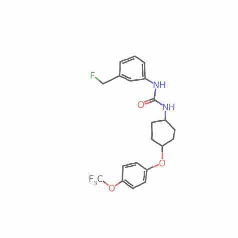 O=C(Nc1cccc(CF)c1)NC1CCC(Oc2ccc(OC(F)(F)F)cc2)CC1